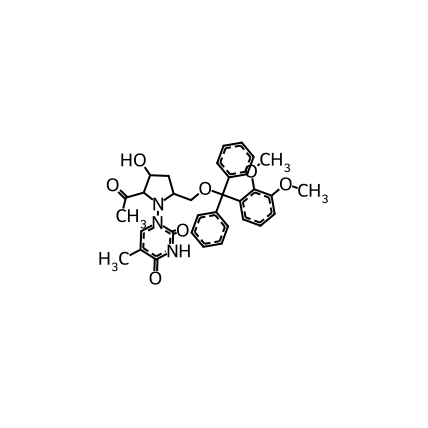 COc1cccc(C(OCC2CC(O)C(C(C)=O)N2n2cc(C)c(=O)[nH]c2=O)(c2ccccc2)c2ccccc2)c1OC